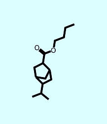 CCCCOC(=O)C1CC2CC1CC2C(C)C